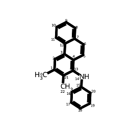 Cc1cc2c(ccc3ccccc32)c(Nc2ccccc2)c1C